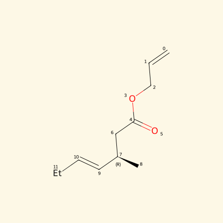 C=CCOC(=O)C[C@@H](C)C=CCC